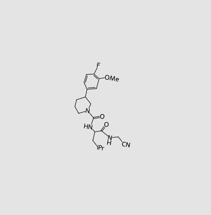 COc1cc(C2CCCN(C(=O)NC(CC(C)C)C(=O)NCC#N)C2)ccc1F